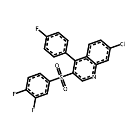 O=S(=O)(c1ccc(F)c(F)c1)c1cnc2cc(Cl)ccc2c1-c1ccc(F)cc1